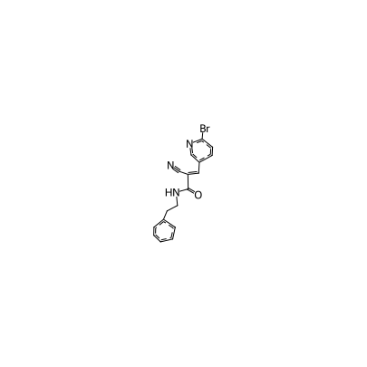 N#C/C(=C\c1ccc(Br)nc1)C(=O)NCCc1ccccc1